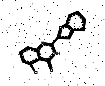 O=c1[nH]c(-c2cc3ccccc3o2)nc2cccc(Cl)c12